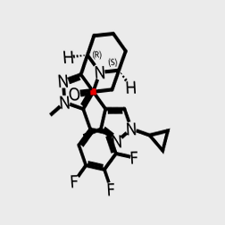 Cc1nn(C2CC2)cc1C(=O)N1[C@H]2CCC[C@@H]1c1nn(C)c(-c3cc(F)c(F)c(F)c3)c1C2